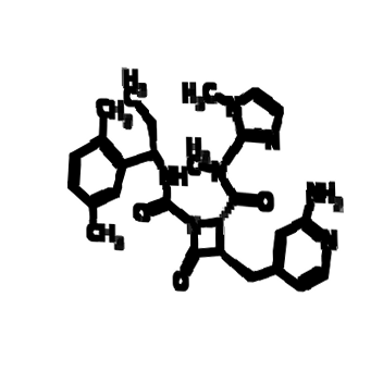 CC[C@@H](NC(=O)N1C(=O)[C@H](Cc2ccnc(N)c2)[C@H]1C(=O)N(C)c1nccn1C)c1cc(C)ccc1C